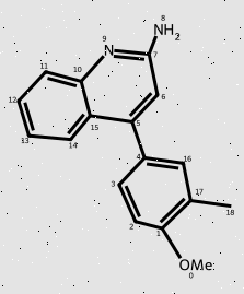 COc1ccc(-c2cc(N)nc3ccccc23)cc1C